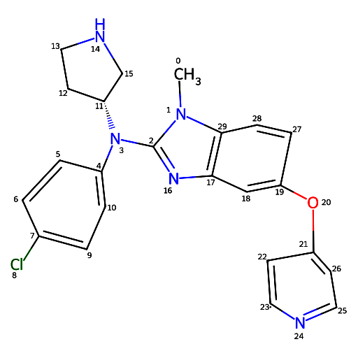 Cn1c(N(c2ccc(Cl)cc2)[C@@H]2CCNC2)nc2cc(Oc3c[c]ncc3)ccc21